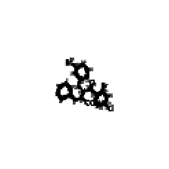 O=C(O)C(Cc1ccccc1)N(Cc1cccc(Br)c1)C(=O)c1ccc(Cl)cc1Br